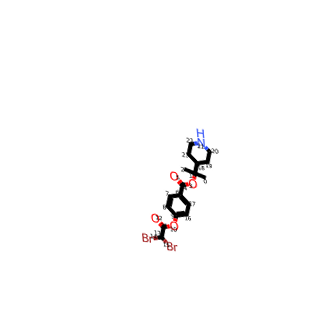 CC(C)(OC(=O)c1ccc(OC(=O)C(Br)Br)cc1)C1CCNCC1